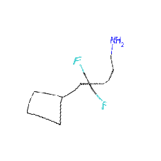 NCC(F)(F)C1CCC1